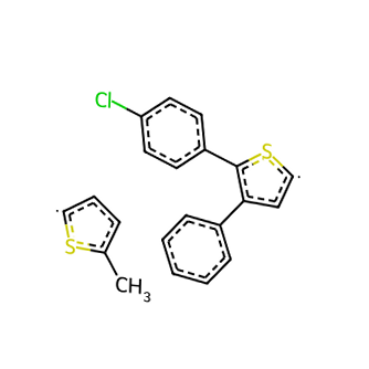 Cc1cc[c]s1.Clc1ccc(-c2s[c]cc2-c2ccccc2)cc1